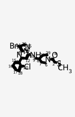 CSCC(=O)N1CCC(CNc2cc(-c3ccccc3Cl)nc3c(Br)cnn23)CC1